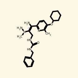 Cc1nc(/C(N)=C(\CNC(=O)NCc2ccccc2)N(C)N)ccc1OC1CCCCC1